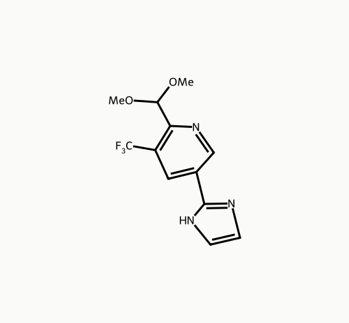 COC(OC)c1ncc(-c2ncc[nH]2)cc1C(F)(F)F